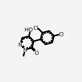 Cn1ncc(O)c(-c2ccc(Cl)cc2Cl)c1=O